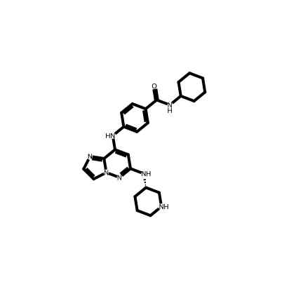 O=C(NC1CCCCC1)c1ccc(Nc2cc(N[C@H]3CCCNC3)nn3ccnc23)cc1